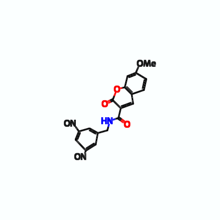 COc1ccc2cc(C(=O)NCc3cc(N=O)cc(N=O)c3)c(=O)oc2c1